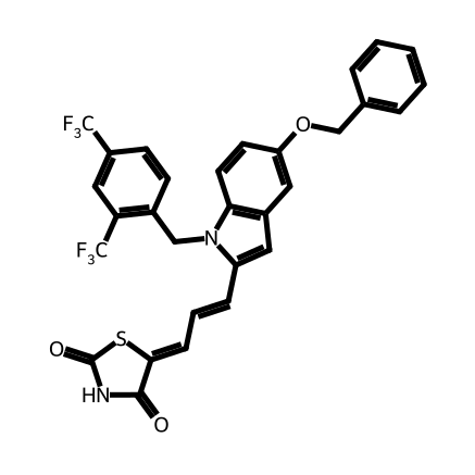 O=C1NC(=O)C(=C/C=C/c2cc3cc(OCc4ccccc4)ccc3n2Cc2ccc(C(F)(F)F)cc2C(F)(F)F)S1